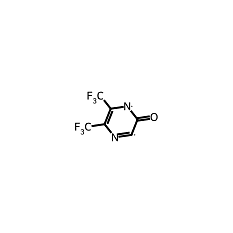 O=C1[C]=NC(C(F)(F)F)=C(C(F)(F)F)[N]1